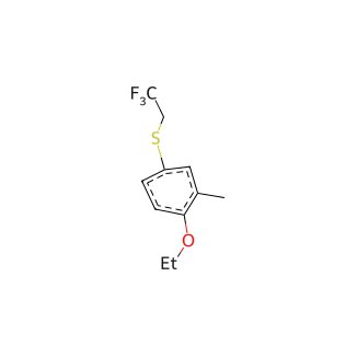 [CH2]COc1ccc(SCC(F)(F)F)cc1C